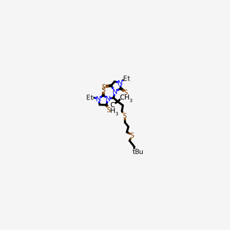 CCN1CC(=S)N(C(N2C(=S)CN(CC)C2=S)C(C)(C)CCSCCCSCCC(C)(C)C)C1=S